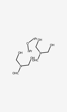 CCCOCCC.O=CN(CO)CO.O=CN(CO)CO